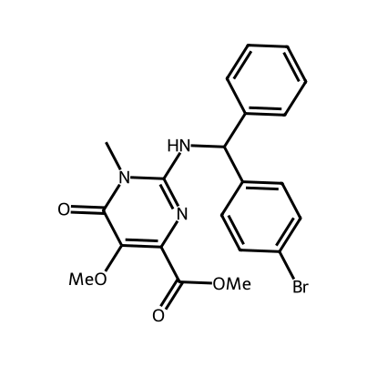 COC(=O)c1nc(NC(c2ccccc2)c2ccc(Br)cc2)n(C)c(=O)c1OC